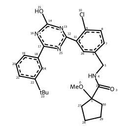 COC1(C(=O)NCc2ccc(Cl)c(-c3nc(O)nc(-c4cccc(C(C)(C)C)c4)n3)c2)CCCC1